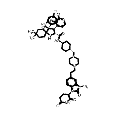 Cn1c(=O)n(C2CCC(=O)NC2=O)c2ccc(CCN3CCN(C[C@H]4CC[C@H](NC(=O)[C@@H]5NC6(CCC(C)(C)CC6)[C@@]6(C(=O)Nc7cc(Cl)ccc76)[C@H]5c5ccnc(Cl)c5F)CC4)CC3)cc21